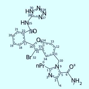 CCCc1nc(C)c(C(N)=O)n1Cc1ccc2oc(-c3ccccc3C(=O)Nc3nnn[nH]3)c(Br)c2c1